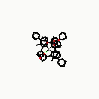 Cc1c(-c2ccccc2)c(C)c(-c2ccccc2)c([Si](Cl)(c2c(-c3ccccc3)c(C)c(-c3ccccc3)c(C)c2-c2ccccc2)c2c(-c3ccccc3)c(C)c(-c3ccccc3)c(C)c2-c2ccccc2)c1-c1ccccc1